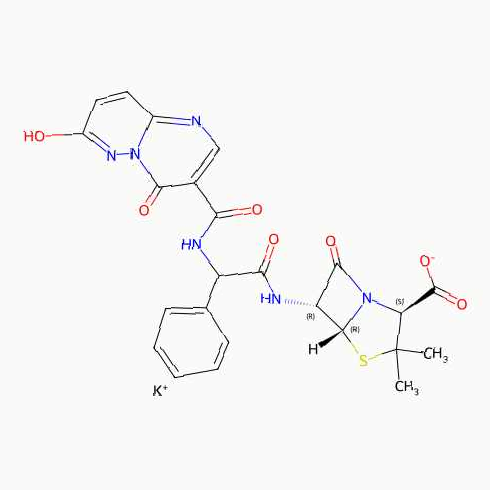 CC1(C)S[C@@H]2[C@H](NC(=O)C(NC(=O)c3cnc4ccc(O)nn4c3=O)c3ccccc3)C(=O)N2[C@H]1C(=O)[O-].[K+]